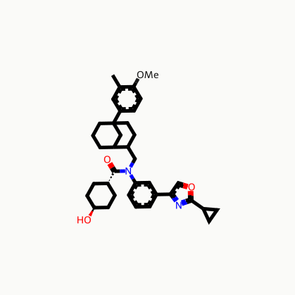 COc1ccc(C23CCCC(C2)C(CN(c2cccc(-c4coc(C5CC5)n4)c2)C(=O)[C@H]2CC[C@H](O)CC2)CC3)cc1C